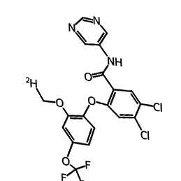 [2H]COc1cc(OC(F)(F)F)ccc1Oc1cc(Cl)c(Cl)cc1C(=O)Nc1cncnc1